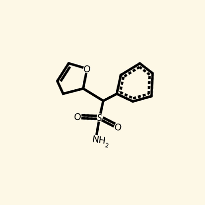 NS(=O)(=O)C(c1ccccc1)C1CC=CO1